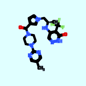 Cc1cnc(N2CCN(C(=O)c3ccn(C[C@H](C)Nc4cn[nH]c(=O)c4C(F)(F)F)c3)CC2)nc1